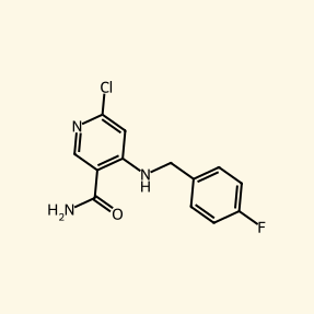 NC(=O)c1cnc(Cl)cc1NCc1ccc(F)cc1